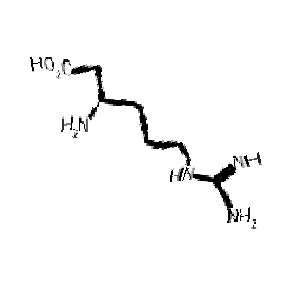 N=C(N)NCCC[C@@H](N)CC(=O)O